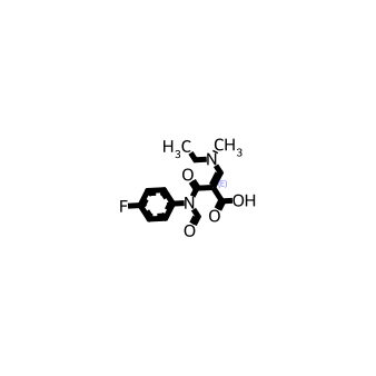 CCN(C)/C=C(/C(=O)O)C(=O)N(C=O)c1ccc(F)cc1